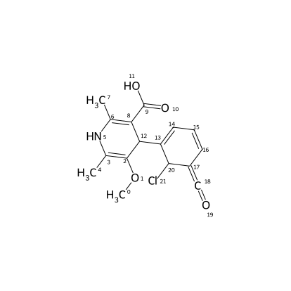 COC1=C(C)NC(C)=C(C(=O)O)C1C1=CC=CC(=C=O)C1Cl